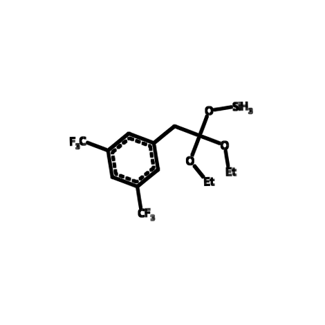 CCOC(Cc1cc(C(F)(F)F)cc(C(F)(F)F)c1)(O[SiH3])OCC